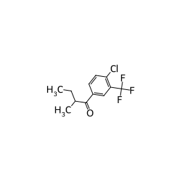 CCC(C)C(=O)c1ccc(Cl)c(C(F)(F)F)c1